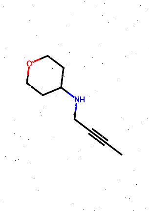 CC#CCNC1CCOCC1